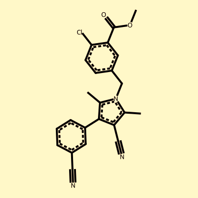 COC(=O)c1cc(Cn2c(C)c(C#N)c(-c3cccc(C#N)c3)c2C)ccc1Cl